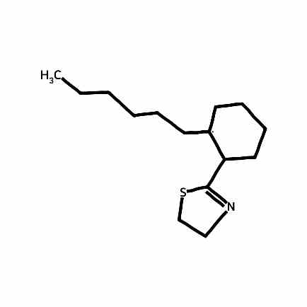 CCCCCC[C]1CCCCC1C1=NCCS1